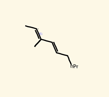 [CH2]CCCC=C/C(C)=[C]/C